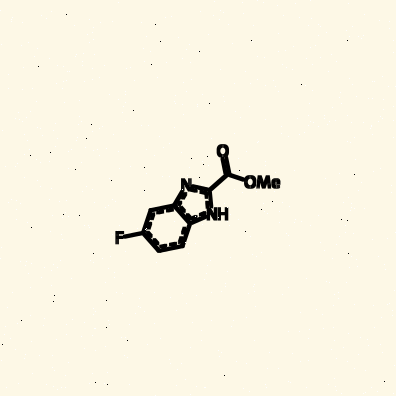 COC(=O)c1nc2cc(F)ccc2[nH]1